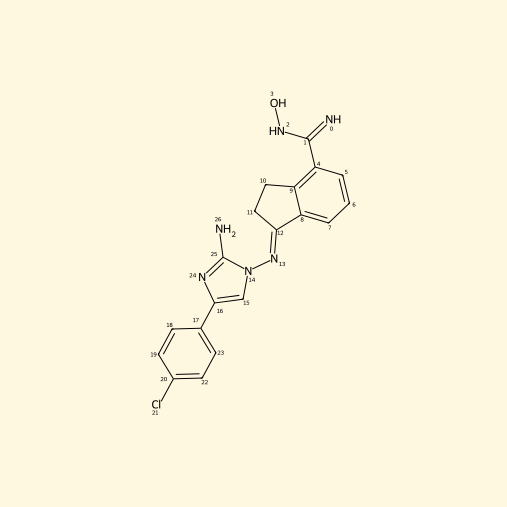 N=C(NO)c1cccc2c1CC/C2=N\n1cc(-c2ccc(Cl)cc2)nc1N